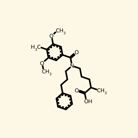 COc1cc(C(=O)N(CCCc2ccccc2)CCCC(C)C(=O)O)cc(OC)c1C